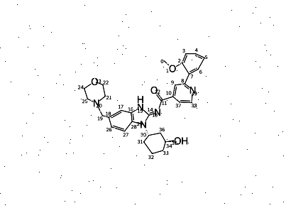 COc1ccccc1-c1cc(C(=O)/N=c2\[nH]c3cc(CN4CCOCC4)ccc3n2[C@H]2CCC[C@H](O)C2)ccn1